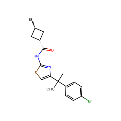 CC[C@H]1C[C@H](C(=O)Nc2nc(C(C)(C=O)c3ccc(Br)cc3)cs2)C1